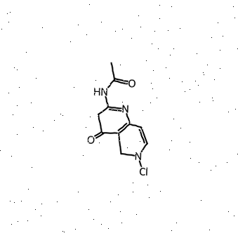 CC(=O)NC1=NC2=C(CN(Cl)C=C2)C(=O)C1